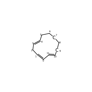 C1=C\C/C=C/CCCCC/C=C/1